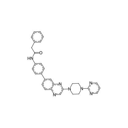 O=C(Cc1ccccc1)Nc1ccc(-c2ccc3ncc(N4CCN(c5ncccn5)CC4)nc3c2)cc1